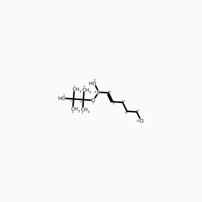 CC(C)(O)C(C)(C)OB(O)/C=C/CCCCl